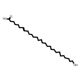 O=C(O)CCCCCC=CCCCCCCCCCCCCCCCCCCCCCO